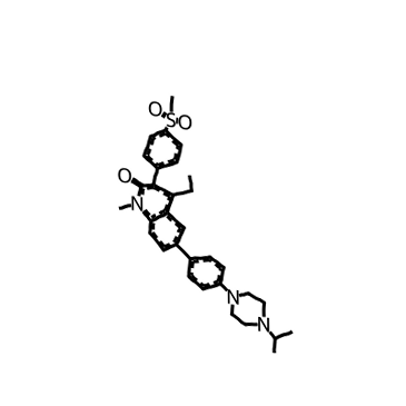 CCc1c(-c2ccc(S(C)(=O)=O)cc2)c(=O)n(C)c2ccc(-c3ccc(N4CCN(C(C)C)CC4)cc3)cc12